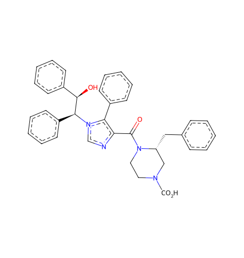 O=C(O)N1CCN(C(=O)c2ncn([C@@H](c3ccccc3)[C@H](O)c3ccccc3)c2-c2ccccc2)[C@H](Cc2ccccc2)C1